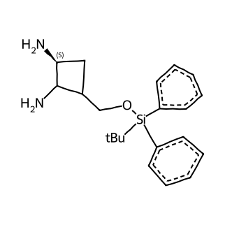 CC(C)(C)[Si](OCC1C[C@H](N)C1N)(c1ccccc1)c1ccccc1